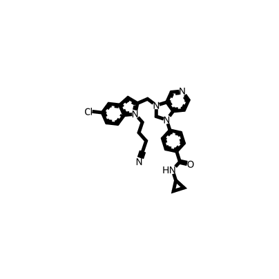 N#CCCCn1c(CN2CN(c3ccc(C(=O)NC4CC4)cc3)c3ccncc32)cc2cc(Cl)ccc21